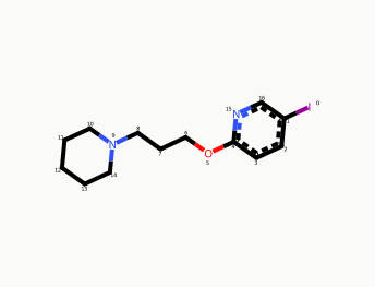 Ic1ccc(OCCCN2CCCCC2)nc1